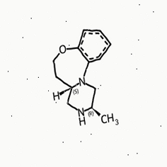 C[C@@H]1CN2c3ccccc3OCC[C@H]2CN1